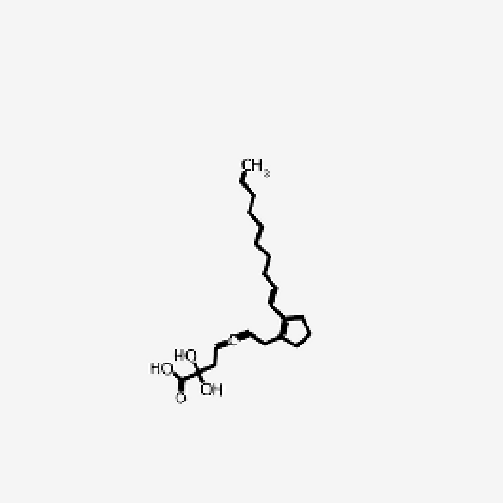 CCCCCCCC/C=C/C1=C(CC=C=CCC(O)(O)C(=O)O)CCC1